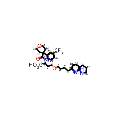 O=C(O)C(CCOCCCCc1ccc2c(n1)NCCC2)NC(=O)C1(c2cccc(C(F)(F)F)c2)CCOCC1